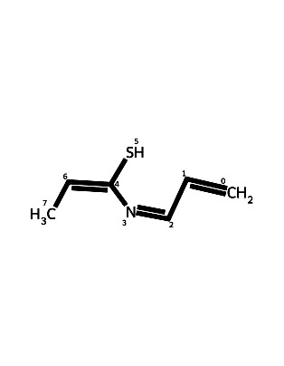 C=C/C=N\C(S)=C/C